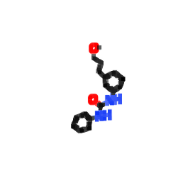 [O]CC=Cc1cccc(NC(=O)Nc2ccccc2)c1